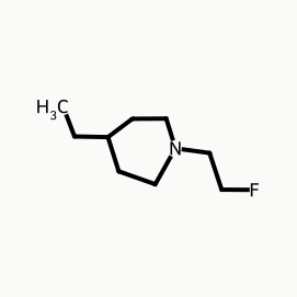 CCC1CCN(CCF)CC1